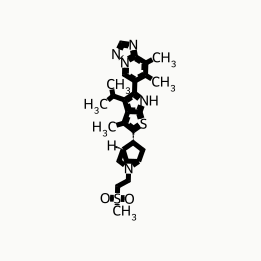 Cc1c(-c2[nH]c3sc([C@@H]4CC5C[C@H]4CN5CCS(C)(=O)=O)c(C)c3c2C(C)C)cn2ncnc2c1C